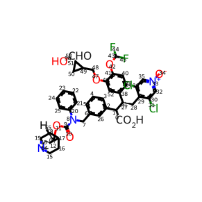 O=C(O)C(c1cccc(CN(C(=O)O[C@H]2CN3CCC2CC3)c2ccccc2)c1)[C@H](Cc1c(Cl)c[n+]([O-])cc1Cl)c1ccc(OC(F)F)c(OCC2CC2)c1.O=CO